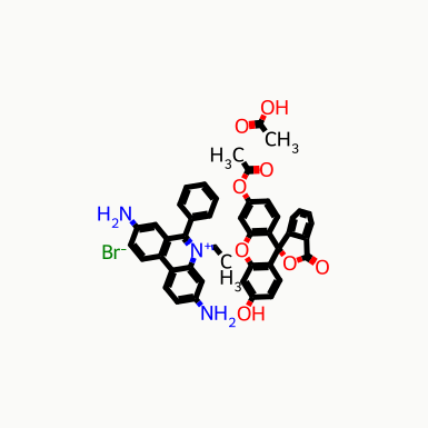 CC(=O)O.CC(=O)Oc1ccc2c(c1)Oc1cc(O)ccc1C21OC(=O)c2ccccc21.CC[n+]1c(-c2ccccc2)c2cc(N)ccc2c2ccc(N)cc21.[Br-]